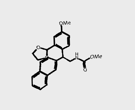 COC(=O)NCC(c1ccc2ccccc2c1)c1ccc(OC)cc1C1OCCO1